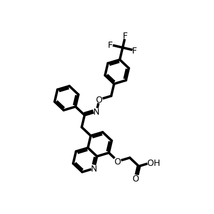 O=C(O)COc1ccc(CC(=NOCc2ccc(C(F)(F)F)cc2)c2ccccc2)c2cccnc12